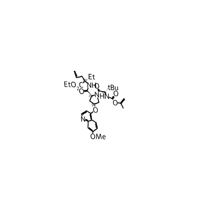 C=CC[C@@](CC)(NC(=O)[C@@H]1C[C@@H](Oc2ccnc3cc(OC)ccc23)CN1C(=O)[C@@H](NC(=O)OC(=C)C)C(C)(C)C)C(=O)OCC